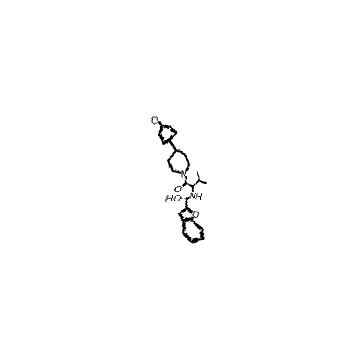 CC(C)C(N[C@@H](O)c1cc2ccccc2o1)C(=O)N1CCC(c2ccc(Cl)cc2)CC1